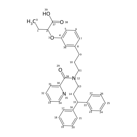 CCC(Oc1cccc(CCCN(CCC(c2ccccc2)c2ccccc2)C(=O)c2ccccn2)c1)C(=O)O